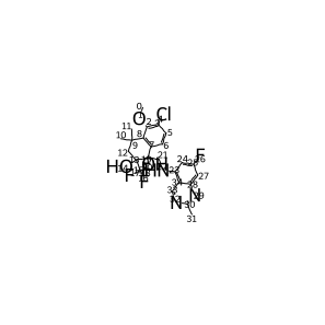 COc1c(Cl)ccc2c1C(C)(C)CC(O)(C(F)(F)F)C2(O)CNc1cc(F)cc2nc(C)ncc12